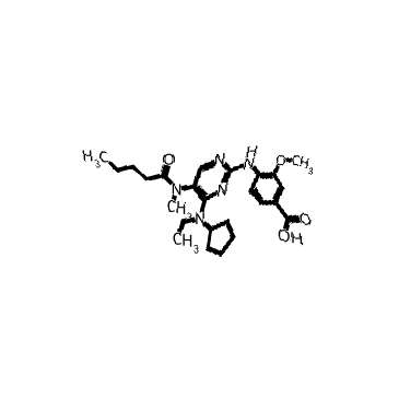 CCCCC(=O)N(C)c1cnc(Nc2ccc(C(=O)O)cc2OC)nc1N(CC)C1CCCC1